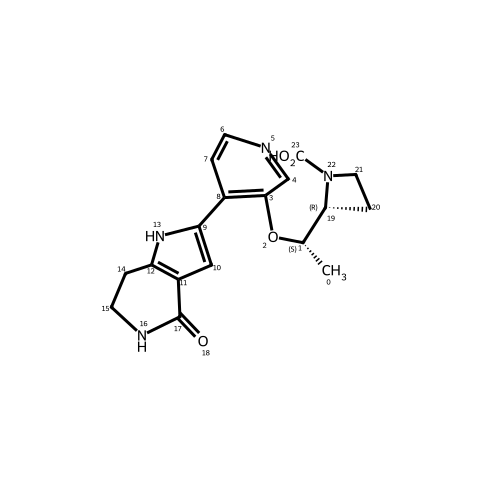 C[C@H](Oc1cnccc1-c1cc2c([nH]1)CCNC2=O)[C@H]1CCN1C(=O)O